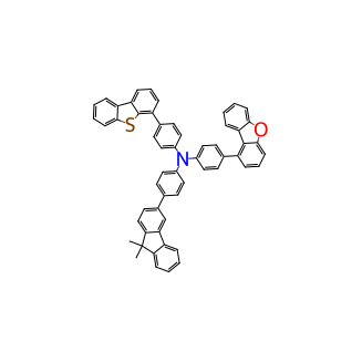 CC1(C)c2ccccc2-c2cc(-c3ccc(N(c4ccc(-c5cccc6c5sc5ccccc56)cc4)c4ccc(-c5cccc6oc7ccccc7c56)cc4)cc3)ccc21